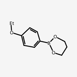 CCOc1ccc(B2OCCCO2)cc1